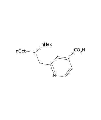 CCCCCCCCC(CCCCCC)Cc1cc(C(=O)O)ccn1